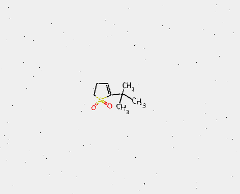 CC(C)(C)C1=CCCS1(=O)=O